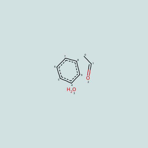 CC=O.O.c1ccccc1